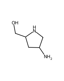 NC1CNC(CO)C1